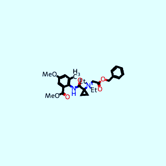 CC[N+](CC)(CC(=O)OCc1ccccc1)C1(C(=O)Nc2c(C)cc(OC)cc2C(=O)OC)CC1